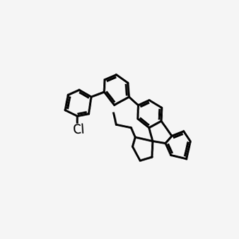 CCCC1CCCC12c1ccccc1-c1ccc(-c3cccc(-c4cccc(Cl)c4)c3)cc12